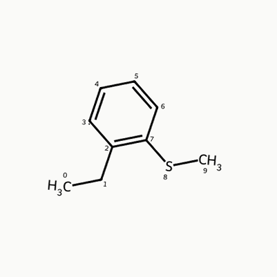 CCc1[c]cccc1SC